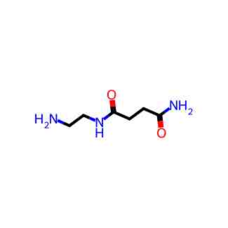 NCCNC(=O)CCC(N)=O